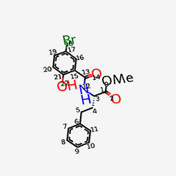 COC(=O)[C@H](CCc1ccccc1)NC(=O)c1cc(Br)ccc1O